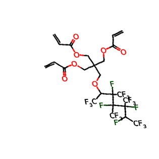 C=CC(=O)OCC(COC(=O)C=C)(COC(=O)C=C)COC(C(F)(F)F)C(F)(C(F)(F)F)C(F)(C(F)(F)F)C(F)(C(F)C(F)(F)F)C(F)(F)F